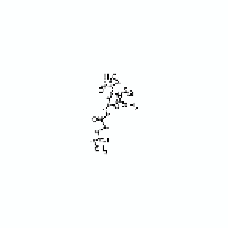 C=CN(C=O)C(CC(=O)CCC(=O)CCC(=O)CC)N(C=C)C=O